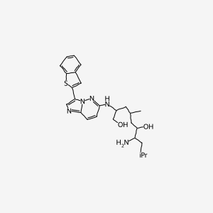 CC(C)CC(N)C(O)CC(C)CC(CO)Nc1ccc2ncc(-c3cc4ccccc4s3)n2n1